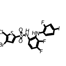 O=S(=O)(Nc1ccc(F)c(F)c1Nc1ccc(I)cc1F)c1cc(Br)c(Cl)s1